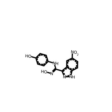 O=[N+]([O-])c1ccc2[nH]nc(/C(=N/O)Nc3ccc(O)cc3)c2c1